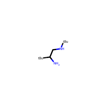 CC(C)(C)NCC(N)C(C)(C)C